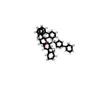 c1ccc(-c2ccc(N(c3cccc(-c4ccccc4)c3-c3cccc4sc5ccccc5c34)c3cccc4c3oc3ccccc34)cc2)cc1